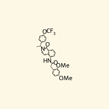 COc1ccc(CC(=O)Nc2cccc3c(=O)n(C(C)c4ccc(OC(F)(F)F)cc4)ccc23)c(OC)c1